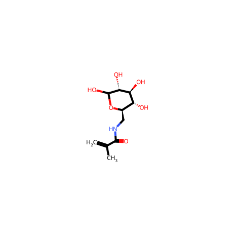 C=C(C)C(=O)NC[C@H]1OC(O)[C@H](O)[C@@H](O)[C@@H]1O